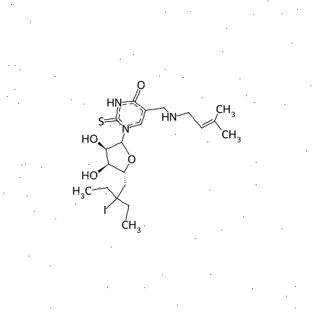 CCC(I)(CC)C[C@H]1OC(n2cc(CNCC=C(C)C)c(=O)[nH]c2=S)[C@H](O)[C@@H]1O